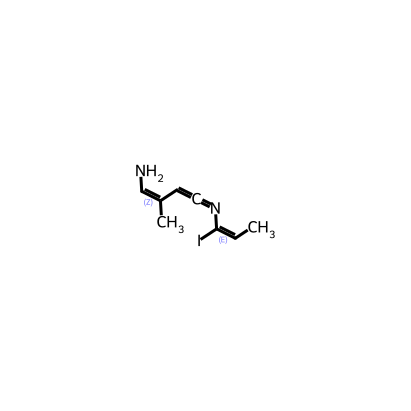 C/C=C(/I)N=C=C/C(C)=C\N